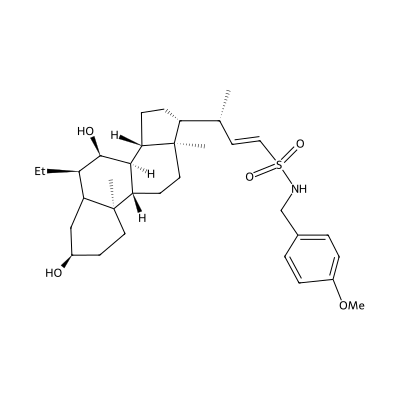 CC[C@@H]1C2C[C@H](O)CC[C@]2(C)[C@H]2CC[C@]3(C)[C@@H]([C@H](C)/C=C/S(=O)(=O)NCc4ccc(OC)cc4)CC[C@H]3[C@@H]2[C@@H]1O